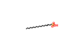 CCCCCCCCCCCCCCC=CCCS(=O)(=O)O